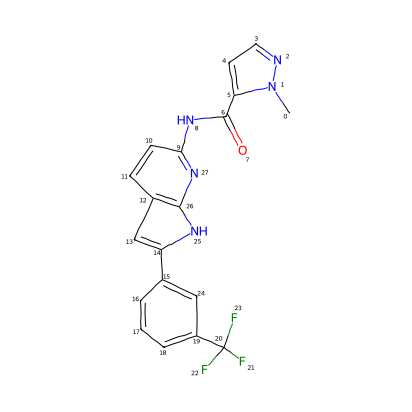 Cn1nccc1C(=O)Nc1ccc2cc(-c3cccc(C(F)(F)F)c3)[nH]c2n1